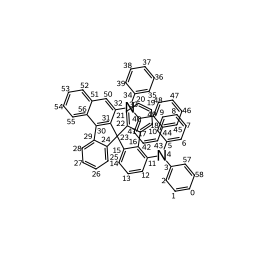 c1ccc(N(c2ccccc2)c2cccc3c2-c2ccccc2C32c3ccccc3-c3c2c(N(c2ccccc2)c2cccc4ccccc24)cc2ccccc32)cc1